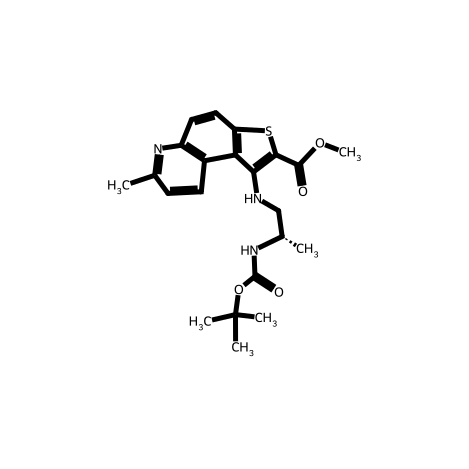 COC(=O)c1sc2ccc3nc(C)ccc3c2c1NC[C@H](C)NC(=O)OC(C)(C)C